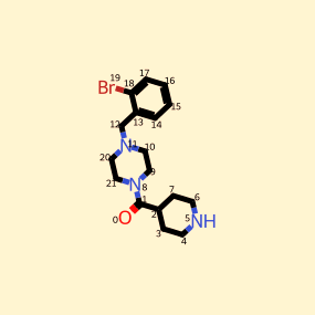 O=C(C1CCNCC1)N1CCN(Cc2ccccc2Br)CC1